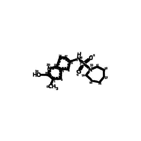 Cc1cc2cc(NS(=O)(=O)N3CCCCCC3)ccc2nc1O